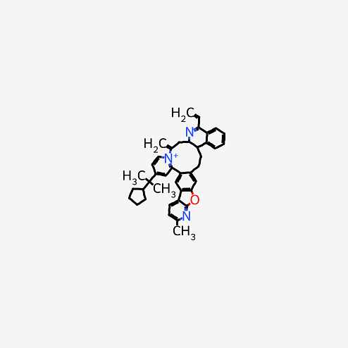 C=CC1=NC2CC(=C)[n+]3ccc(C(C)(C)C4CCCC4)cc3-c3cc4c(cc3CCC2c2ccccc21)oc1nc(C)ccc14